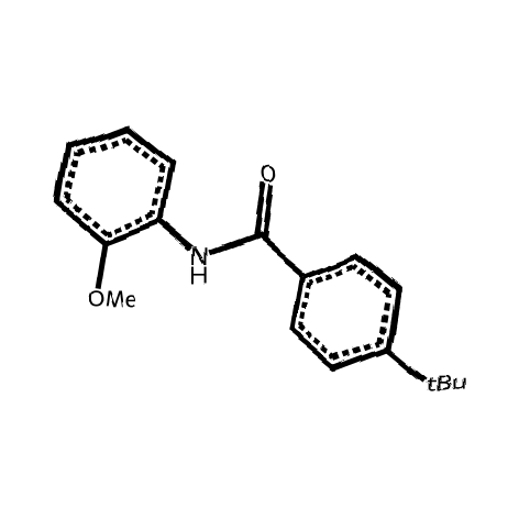 COc1ccccc1NC(=O)c1ccc(C(C)(C)C)cc1